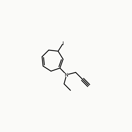 C#CCN(CC)C1=CC(I)CC=CC1